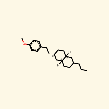 CCCC1CC[C@@H]2C[C@H](CCc3ccc(OC)cc3)CC[C@@H]2C1